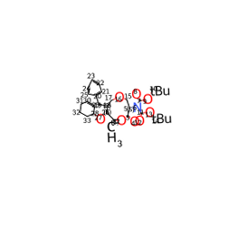 C[C@@H]1OC(=O)[C@@H](N(C(=O)OC(C)(C)C)C(=O)OC(C)(C)C)COC[C@H](Cc2ccccc2)[C@H]1OC1C=CCCC1